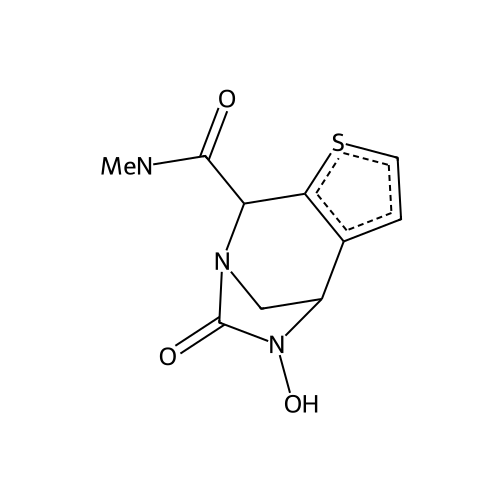 CNC(=O)C1c2sccc2C2CN1C(=O)N2O